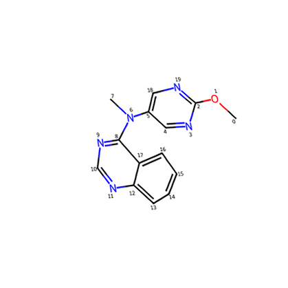 COc1ncc(N(C)c2ncnc3ccccc23)cn1